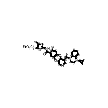 CCOC(=O)Oc1sc(NC(=O)c2cc(Cl)c(Oc3ccncc3C(=O)N3CCN(C4CC4)c4ccccc43)cc2Cl)nc1C